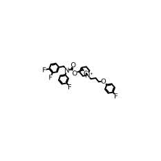 O=C(OC1C[N+]2(CCCOc3ccc(F)cc3)CCC1CC2)N(Cc1ccc(F)c(F)c1)c1cccc(F)c1